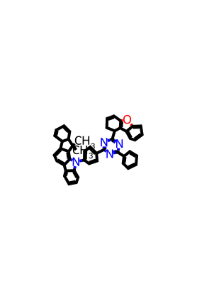 CC1(C)c2c(ccc3c4ccccc4n(-c4ccc(-c5nc(-c6ccccc6)nc(C6CC=Cc7oc8ccccc8c76)n5)cc4)c23)C2C=CC=CC21